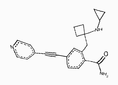 NC(=O)c1ccc(C#Cc2ccncc2)cc1CC1(NC2CC2)CCC1